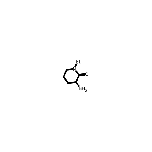 BC1CCCN(CC)C1=O